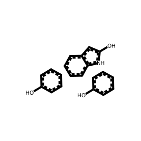 Oc1cc2ccccc2[nH]1.Oc1ccccc1.Oc1ccccc1